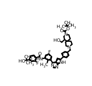 Cc1c(NC(=O)c2ccc(C(C)(C)O)cc2F)cc(F)cc1-c1ncnc2[nH]c(-c3ccc(CN4CCC5(CC4)CCN(C(=O)OC(C)(C)C)CC5CO)cc3)cc12